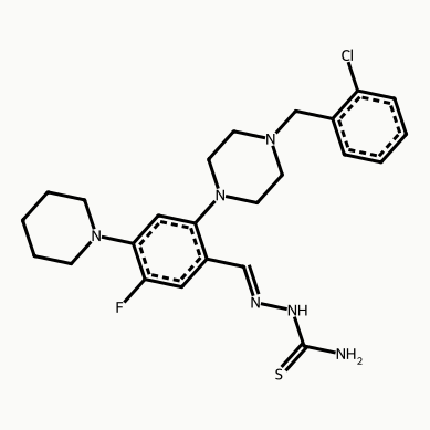 NC(=S)NN=Cc1cc(F)c(N2CCCCC2)cc1N1CCN(Cc2ccccc2Cl)CC1